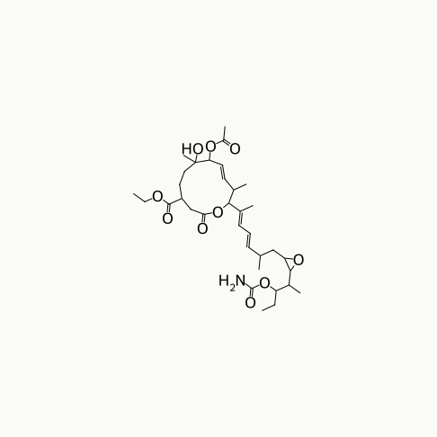 CCOC(=O)C1CCC(C)(O)C(OC(C)=O)/C=C/C(C)C(/C(C)=C/C=C/C(C)CC2OC2C(C)C(CC)OC(N)=O)OC(=O)C1